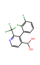 OB(O)c1ccnc(C(F)(F)F)c1-c1cccc(F)c1F